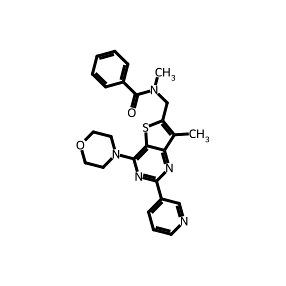 Cc1c(CN(C)C(=O)c2ccccc2)sc2c(N3CCOCC3)nc(-c3cccnc3)nc12